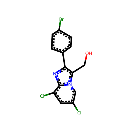 OCc1c(-c2ccc(Br)cc2)nc2c(Cl)cc(Cl)cn12